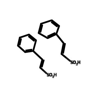 O=S(=O)(O)C=Cc1ccccc1.O=S(=O)(O)C=Cc1ccccc1